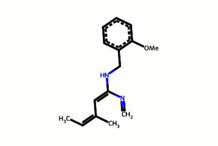 C=N/C(=C\C(C)=C/C)NCc1ccccc1OC